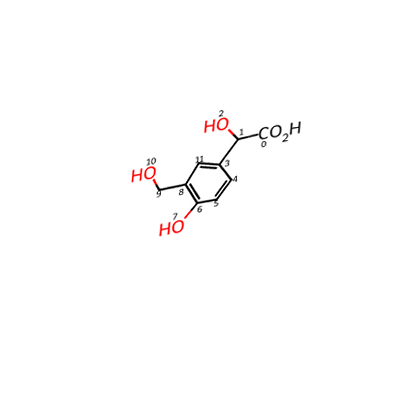 O=C(O)C(O)c1ccc(O)c(CO)c1